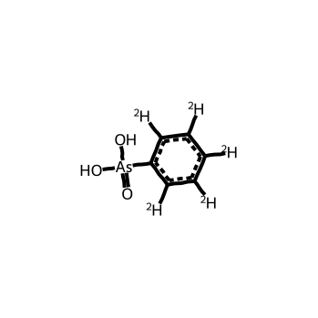 [2H]c1c([2H])c([2H])c([As](=O)(O)O)c([2H])c1[2H]